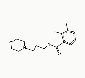 Cc1cccc(C(=O)NCCCN2CCOCC2)c1I